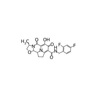 C[C@@H]1COC2C3CCc4c(C(=O)NCc5ccc(F)cc5F)c(=O)c(O)c(n43)C(=O)N21